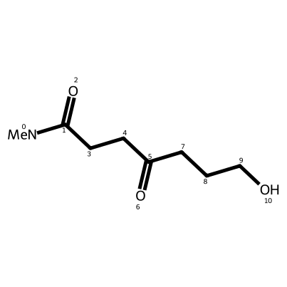 CNC(=O)CCC(=O)CCCO